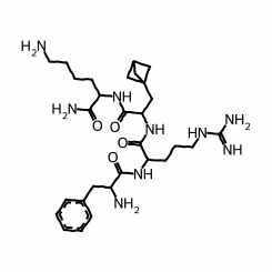 N=C(N)NCCCC(NC(=O)C(N)Cc1ccccc1)C(=O)NC(CC12CC(C1)C2)C(=O)NC(CCCCN)C(N)=O